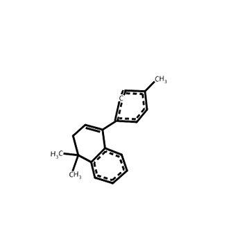 Cc1ccc(C2=CCC(C)(C)c3ccccc32)cc1